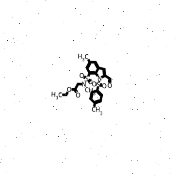 CCOC(=O)CN(C)S(=O)(=O)c1cc(C)cc2cc(C=O)n(S(=O)(=O)c3ccc(C)cc3)c12